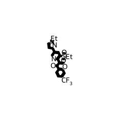 CCn1ccc(-c2cnc(-c3coc4cc(C(F)(F)F)ccc4c3=O)c(S(=O)(=O)CC)c2)n1